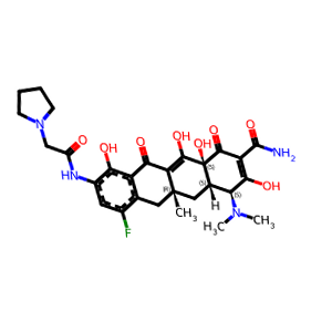 CN(C)[C@@H]1C(O)=C(C(N)=O)C(=O)[C@@]2(O)C(O)=C3C(=O)c4c(O)c(NC(=O)CN5CCCC5)cc(F)c4C[C@@]3(C)C[C@@H]12